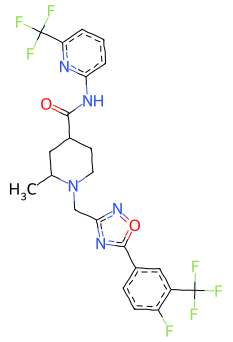 CC1CC(C(=O)Nc2cccc(C(F)(F)F)n2)CCN1Cc1noc(-c2ccc(F)c(C(F)(F)F)c2)n1